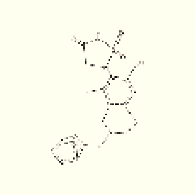 O=C1CN(c2c(O)cc3c(c2F)CN(Cc2cc4ccc2o4)CC3)S(=O)(=O)N1